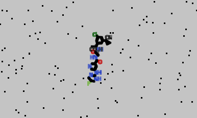 N#CC1(c2cc(Cl)cc([C@H](CC(=O)O)NC(=O)CNC(=O)c3cncc(NC4=NCC(F)CN4)c3)c2)CC1